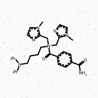 CC(C)N(CCCC[N+](Cc1nccn1C)(Cc1nccn1C)C(=O)c1ccc(C(N)=O)cc1)C(C)C